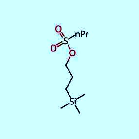 CCCS(=O)(=O)OCCC[Si](C)(C)C